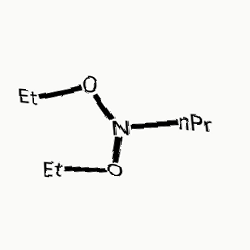 CCCN(OCC)OCC